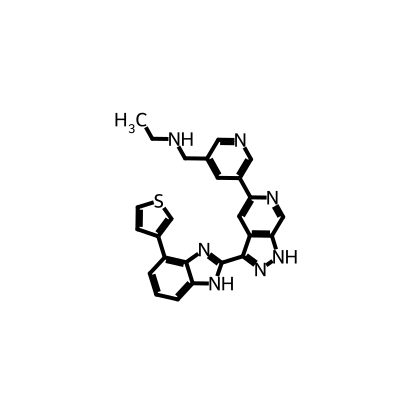 CCNCc1cncc(-c2cc3c(-c4nc5c(-c6ccsc6)cccc5[nH]4)n[nH]c3cn2)c1